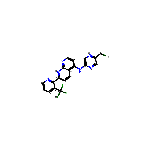 FCc1cnc(Nc2ccnc3nc(-c4ncccc4C(F)(F)F)ccc23)cn1